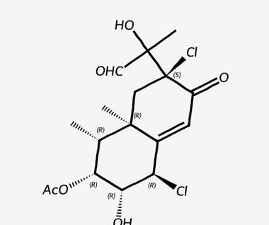 CC(=O)O[C@H]1[C@@H](O)[C@H](Cl)C2=CC(=O)[C@@](Cl)(C(C)(O)C=O)C[C@]2(C)[C@H]1C